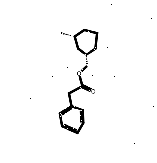 C[C@@H]1CCC[C@H](COC(=O)Cc2ccccc2)C1